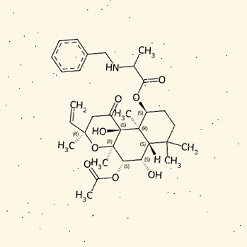 C=C[C@@]1(C)CC(=O)[C@]2(O)[C@@]3(C)[C@@H](OC(=O)C(C)NCc4ccccc4)CCC(C)(C)[C@@H]3[C@H](O)[C@H](OC(C)=O)[C@@]2(C)O1